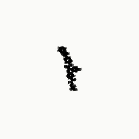 O=C(NCCS(=O)(=O)O)c1ccc(CC(C(=O)Nc2ccc(-c3cc4ccccc4o3)cc2)c2ccc(Cl)cc2)cc1